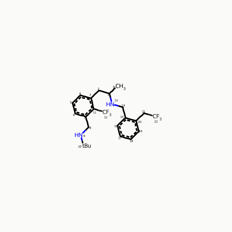 CC(Cc1cccc(CNC(C)(C)C)c1C(F)(F)F)NCc1ccccc1CC(F)(F)F